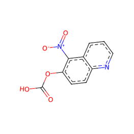 O=C(O)Oc1ccc2ncccc2c1[N+](=O)[O-]